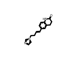 O=C1CCc2cc(/C=C/CCn3ccnc3)ccc2N1